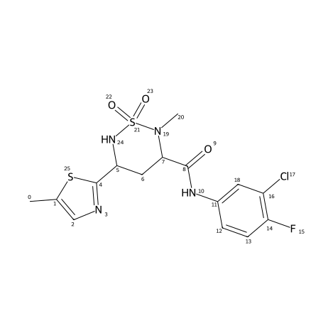 Cc1cnc(C2CC(C(=O)Nc3ccc(F)c(Cl)c3)N(C)S(=O)(=O)N2)s1